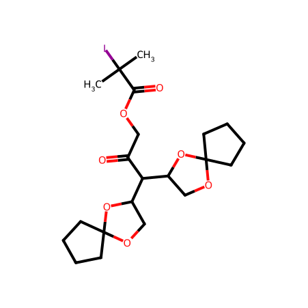 CC(C)(I)C(=O)OCC(=O)C(C1COC2(CCCC2)O1)C1COC2(CCCC2)O1